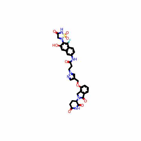 O=C1CCC(N2Cc3c(OCc4cnn(CCC(=O)Nc5ccc6c(F)c(N7CC(=O)NS7(=O)=O)c(O)cc6c5)c4)cccc3C2=O)C(=O)N1